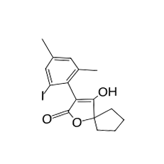 Cc1cc(C)c(C2=C(O)C3(CCCC3)OC2=O)c(I)c1